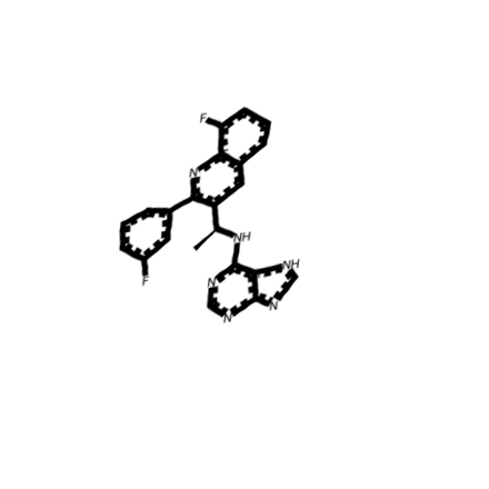 C[C@H](Nc1ncnc2nc[nH]c12)c1cc2cccc(F)c2nc1-c1cccc(F)c1